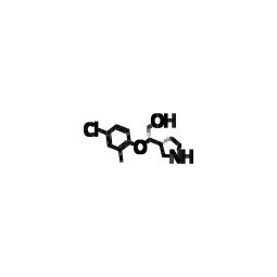 Cc1cc(Cl)ccc1O[C@H](CO)[C@@H]1CCNC1